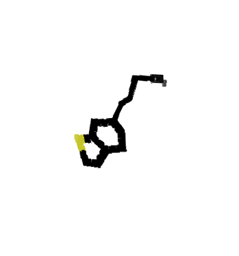 CCCCc1ccc2ccsc2c1